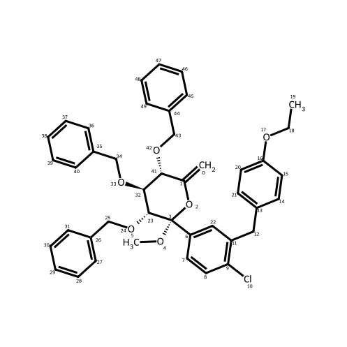 C=C1O[C@@](OC)(c2ccc(Cl)c(Cc3ccc(OCC)cc3)c2)[C@H](OCc2ccccc2)[C@@H](OCc2ccccc2)[C@@H]1OCc1ccccc1